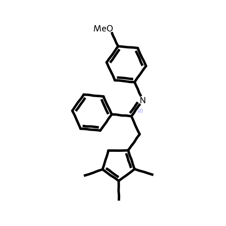 COc1ccc(/N=C(/CC2=C(C)C(C)=C(C)C2)c2ccccc2)cc1